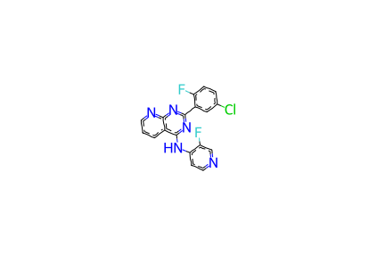 Fc1cnccc1Nc1nc(-c2cc(Cl)ccc2F)nc2ncccc12